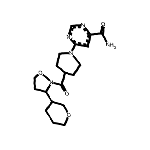 NC(=O)c1cc(N2CCC(C(=O)N3OCCC3C3CCCOC3)CC2)ncn1